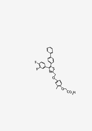 Cc1cc(OCc2nc(-c3ccc(F)c(F)c3)c(-c3ccc(-c4ccccc4)cc3)s2)ccc1OCC(=O)O